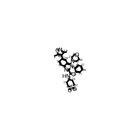 Cc1noc(C)c1-c1ccc2nc(C(=O)NC3CCS(=O)(=O)CC3)nc(N3CCOC[C@@H]3c3ccccc3)c2c1